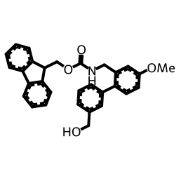 COc1ccc(-c2cccc(CO)c2)c(CNC(=O)OCC2c3ccccc3-c3ccccc32)c1